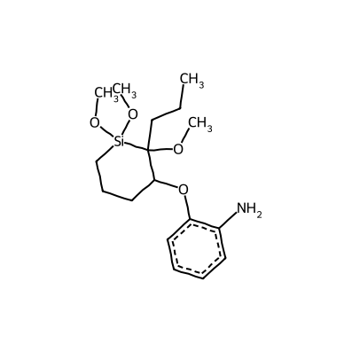 CCCC1(OC)C(Oc2ccccc2N)CCC[Si]1(OC)OC